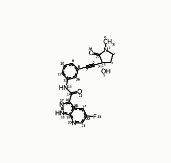 CN1CC[C@@](O)(C#Cc2cccc(NC(=O)c3n[nH]c4ncc(F)cc34)c2)C1=O